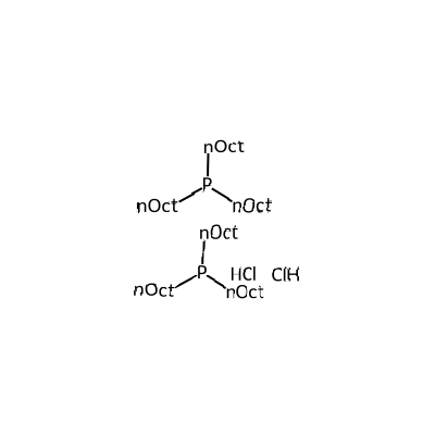 CCCCCCCCP(CCCCCCCC)CCCCCCCC.CCCCCCCCP(CCCCCCCC)CCCCCCCC.Cl.Cl